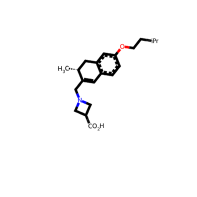 CC(C)CCOc1ccc2c(c1)C[C@@H](C)C(CN1CC(C(=O)O)C1)=C2